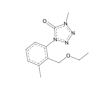 CCOCc1c(C)cccc1-n1nnn(C)c1=O